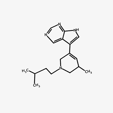 CC(C)CCN1CC(c2c[nH]c3ncncc23)=CC(C)C1